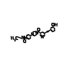 CCCNC(=O)c1ccc(N2CCN(C(=O)c3cncc(C#Cc4cccc(O)c4)c3)CC2)cc1